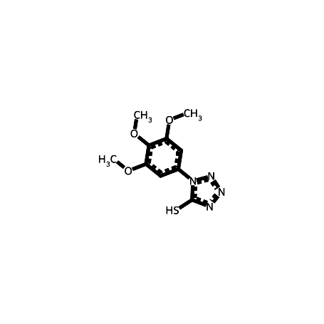 COc1cc(-n2nnnc2S)cc(OC)c1OC